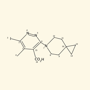 Cc1c(I)nnc(N2CCC3(CC2)CC3)c1C(=O)O